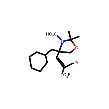 CCOC(=O)C(=CC1(CC2CCCCC2)COC(C)(C)N1C(=O)O)C(C)C